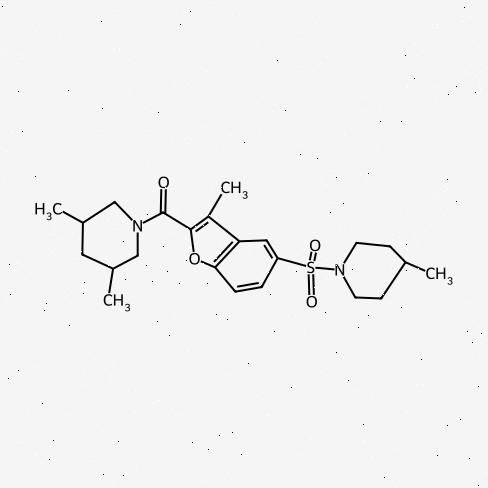 Cc1c(C(=O)N2CC(C)CC(C)C2)oc2ccc(S(=O)(=O)N3CCC(C)CC3)cc12